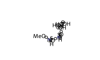 COc1ccc(/C=N/N(C)[PH](=S)Oc2ccc(/C=N/N(C)[PH](=S)Oc3ccc(CCN(CP(=O)(O)O)CP(=O)(O)O)cc3)cc2)cc1